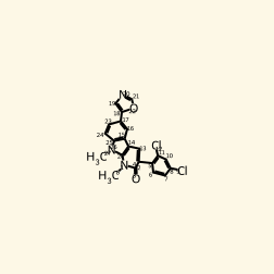 Cn1c(=O)c(-c2ccc(Cl)cc2Cl)cc2c3cc(-c4cnco4)ccc3n(C)c21